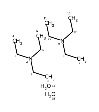 CCN(CC)CC.CCN(CC)CC.O.O